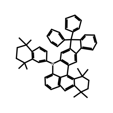 CC1(C)CCC(C)(C)c2cc(N(c3ccccc3)c3cc4c(cc3-c3cccc5c3C(C)(C)CCC5(C)C)-c3ccccc3C4(c3ccccc3)c3ccccc3)ccc21